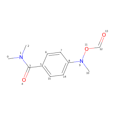 CN(C)C(=O)c1ccc(N(C)OC=O)cc1